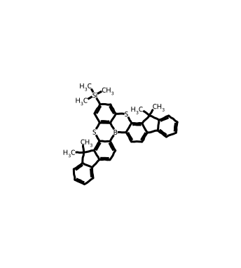 CC1(C)c2ccccc2-c2ccc3c(c21)Sc1cc([Si](C)(C)C)cc2c1B3c1ccc3c(c1S2)C(C)(C)c1ccccc1-3